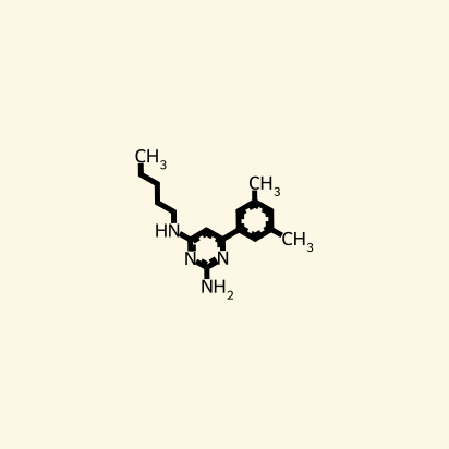 CCCCCNc1cc(-c2cc(C)cc(C)c2)nc(N)n1